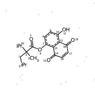 CC(C)CC(C)(C(=O)Oc1ccc(O)c2c1C(=O)C=CC2=O)C(C)C